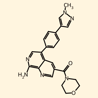 Cn1cc(-c2ccc(-c3cnc(N)c4ncc(C(=O)N5CCOCC5)cc34)cc2)cn1